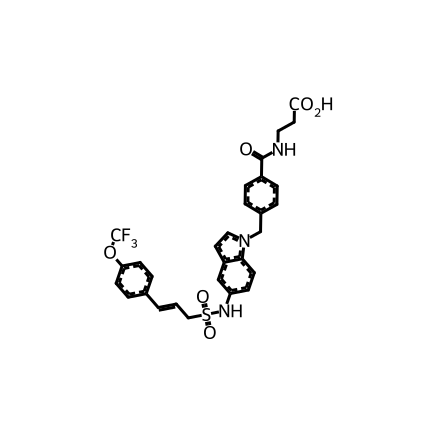 O=C(O)CCNC(=O)c1ccc(Cn2ccc3cc(NS(=O)(=O)CC=Cc4ccc(OC(F)(F)F)cc4)ccc32)cc1